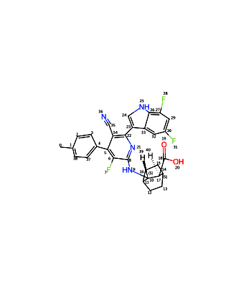 Cc1ccc(-c2c(F)c(N[C@H]3C4CCC(CC4)[C@@H]3C(=O)O)nc(-c3c[nH]c4c(F)cc(F)cc34)c2C#N)cc1